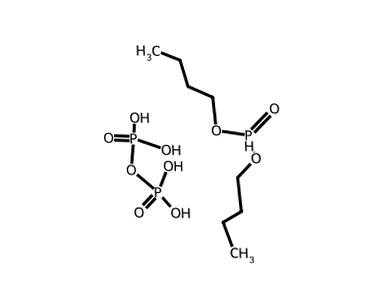 CCCCO[PH](=O)OCCCC.O=P(O)(O)OP(=O)(O)O